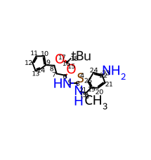 C[C@H](NC(=S)NC(CCc1ccccc1)OC(=O)C(C)(C)C)c1ccc(N)cc1